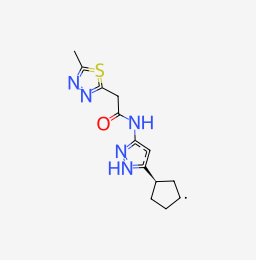 Cc1nnc(CC(=O)Nc2cc([C@H]3C[CH]CC3)[nH]n2)s1